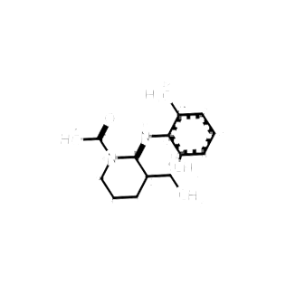 CCC1CCCN(C(=O)O)C1=Nc1c(C)cccc1C